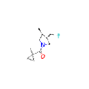 C[C@@H]1CN(C(=O)C2(C)CC2)C[C@@H]1CF